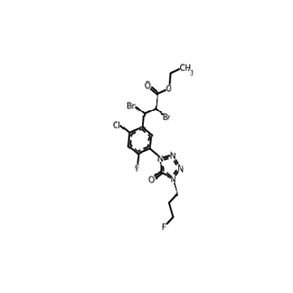 CCOC(=O)C(Br)C(Br)c1cc(-n2nnn(CCCF)c2=O)c(F)cc1Cl